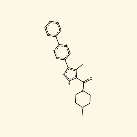 Cc1c(-c2cnc(-c3ccccc3)nc2)n[nH]c1C(=O)N1CCN(C)CC1